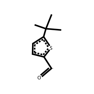 CC(C)(C)c1ccc([C]=O)s1